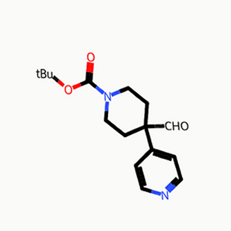 CC(C)(C)OC(=O)N1CCC(C=O)(c2ccncc2)CC1